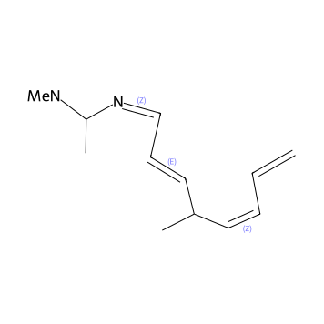 C=C/C=C\C(C)/C=C/C=N\C(C)NC